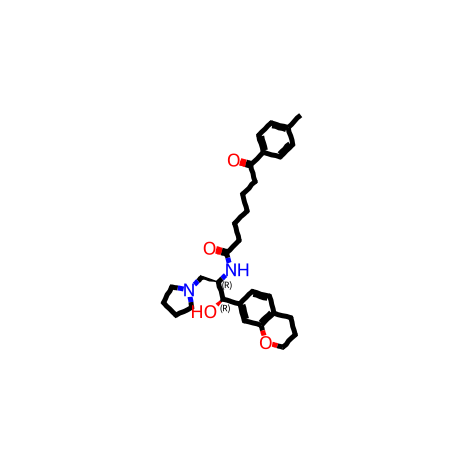 Cc1ccc(C(=O)CCCCCC(=O)N[C@H](CN2CCCC2)[C@H](O)c2ccc3c(c2)OCCC3)cc1